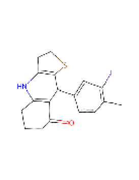 Cc1ccc(C2C3=C(CCS3)NC3=C2C(=O)CCC3)cc1I